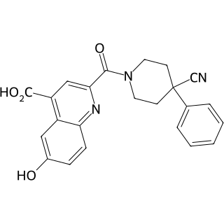 N#CC1(c2ccccc2)CCN(C(=O)c2cc(C(=O)O)c3cc(O)ccc3n2)CC1